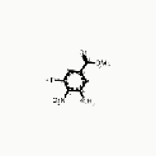 COC(=O)c1cc(C)c([N+](=O)[O-])c(F)c1